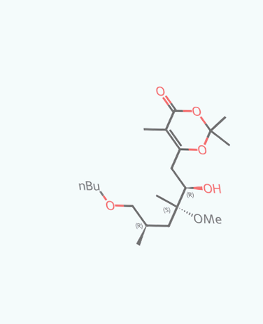 CCCCOC[C@H](C)C[C@](C)(OC)[C@H](O)CC1=C(C)C(=O)OC(C)(C)O1